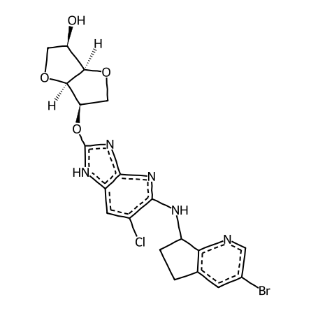 O[C@@H]1CO[C@H]2[C@@H]1OC[C@H]2Oc1nc2nc(NC3CCc4cc(Br)cnc43)c(Cl)cc2[nH]1